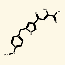 COc1ccc(Cc2cc(C(=O)/C=C(\O)C(=O)O)c[nH]2)cc1